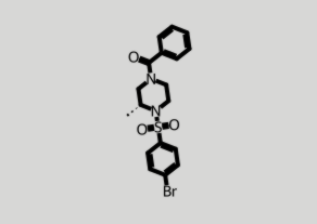 C[C@@H]1CN(C(=O)c2ccccc2)CCN1S(=O)(=O)c1ccc(Br)cc1